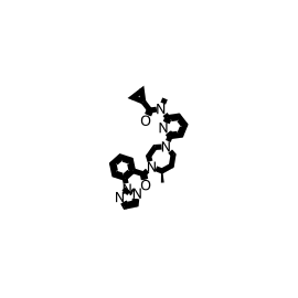 C[C@@H]1CCN(c2cccc(N(C)C(=O)C3CC3)n2)CCN1C(=O)c1ccccc1-n1nccn1